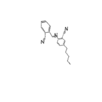 CCCCCc1ccc(N=Cc2ccccc2C#N)c(C#N)c1